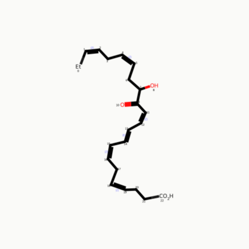 CC/C=C\C/C=C\CC(O)C(=O)\C=C/C=C/C=C\C/C=C\CCC(=O)O